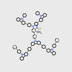 C[C@@H]1C(C2=CC=C(n3c4ccc(-c5ccc(-c6ccc7c8ccccc8n(-c8ccc(C9=CCCC=C9)cc8)c7c6)cc5)cc4c4cc(-c5ccc(-c6ccc7c8ccccc8n(-c8ccc(C9=CCCC=C9)cc8)c7c6)cc5)ccc43)CC2)=CC=C(N(c2ccc(-c3ccc4c5ccccc5n(-c5ccccc5)c4c3)cc2)c2ccc(-c3ccc4c5ccccc5n(-c5ccccc5)c4c3)cc2)C1NS